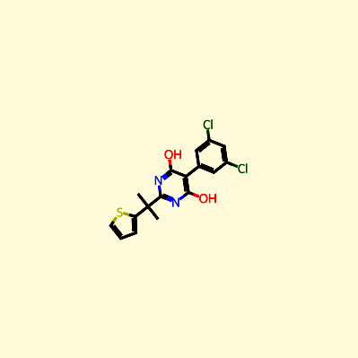 CC(C)(c1nc(O)c(-c2cc(Cl)cc(Cl)c2)c(O)n1)c1cccs1